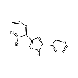 Brc1ncccc1-c1cc(-c2ccccc2)[nH]n1